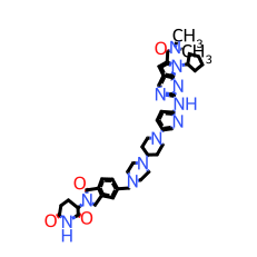 CN(C)C(=O)c1cc2cnc(Nc3ccc(N4CCC(N5CCN(Cc6ccc7c(c6)CN(C6CCC(=O)NC6=O)C7=O)CC5)CC4)cn3)nc2n1C1CCCC1